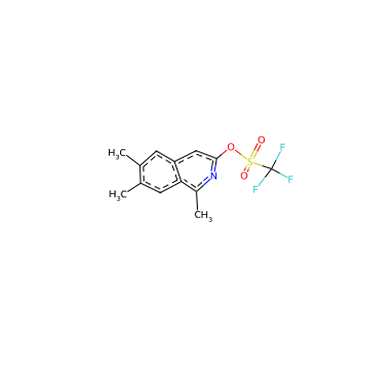 Cc1cc2cc(OS(=O)(=O)C(F)(F)F)nc(C)c2cc1C